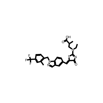 CCN(CC(C)C(=O)O)C1=NC(=O)/C(=C/c2ccc3c(cnn3Cc3ccc(C(F)(F)F)cc3C)c2)S1